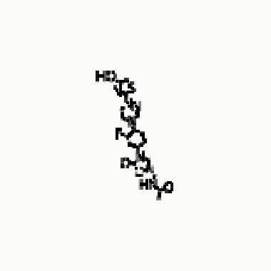 CC(=O)NC[C@H]1CN(c2ccc(N3C=NN(c4nc(O)cs4)CC3)c(F)c2)C(=O)O1